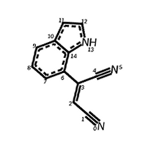 N#C/C=C(\C#N)c1cccc2cc[nH]c12